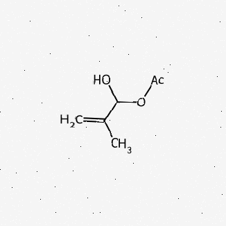 C=C(C)C(O)OC(C)=O